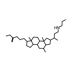 C=C(CC)CCCC1CCC2C3CC(C)C4CC(C(C)CCNCCC)CC4(C)C3CCC12C